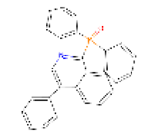 O=P(c1ccccc1)(c1ccccc1)c1ncc(-c2ccccc2)c2ccccc12